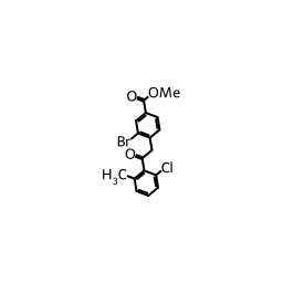 COC(=O)c1ccc(CC(=O)c2c(C)cccc2Cl)c(Br)c1